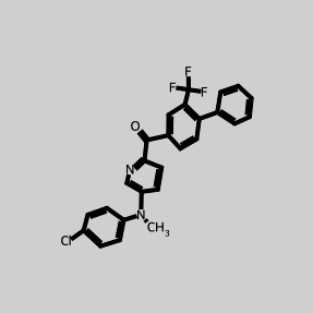 CN(c1ccc(Cl)cc1)c1ccc(C(=O)c2ccc(-c3ccccc3)c(C(F)(F)F)c2)nc1